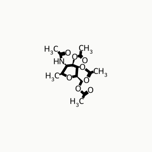 CC(=O)N[C@@H]1[C@@H](OC(C)=O)[C@@H](OC(C)=O)[C@@H](COC(C)=O)O[C@H]1C